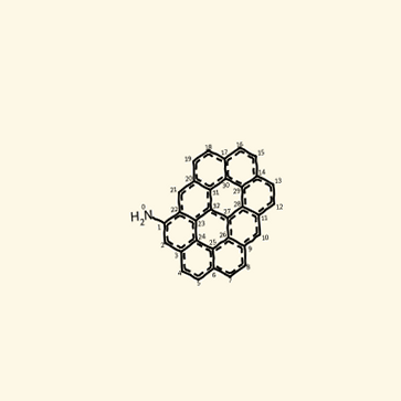 Nc1cc2ccc3ccc4cc5ccc6ccc7ccc8cc1c1c2c3c4c2c5c6c7c8c12